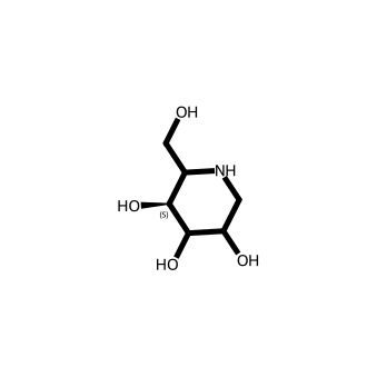 OCC1NCC(O)C(O)[C@H]1O